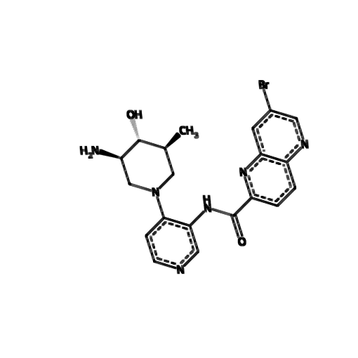 C[C@H]1CN(c2ccncc2NC(=O)c2ccc3ncc(Br)cc3n2)C[C@@H](N)[C@@H]1O